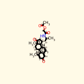 CC(=O)OCC(=O)N[C@H](C)C[C@H]1CC(=O)[C@@]2(C)CC[C@H]3[C@@H](CCC4=CC(=O)C=C(C)[C@@]43C)[C@H]12